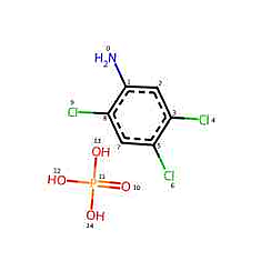 Nc1cc(Cl)c(Cl)cc1Cl.O=P(O)(O)O